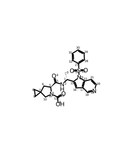 C[C@@H](NC(=O)[C@@H]1CC2(CC2)CN1C(=O)O)c1cc2cnccc2n1S(=O)(=O)c1ccccc1